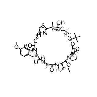 CC[C@H](C)[C@@H]1NC(=O)[C@H](C)NC(=O)[C@H](Cc2ccc(OC)cc2)NC(O)CC[C@@H]2CSC(=N2)[C@@H](C)[C@@H](O)C[C@H](C)C[C@@H](C(C)(C)C)OC(=O)[C@@H]2CCCN2C1=O